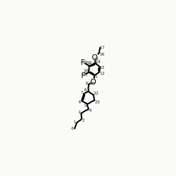 CCCCCC1C=CC(COc2ccc(OCC)c(F)c2F)CC1